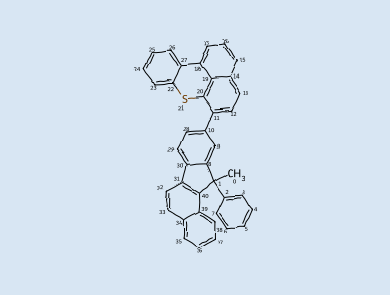 CC1(c2ccccc2)c2cc(-c3ccc4cccc5c4c3Sc3ccccc3-5)ccc2-c2ccc3ccccc3c21